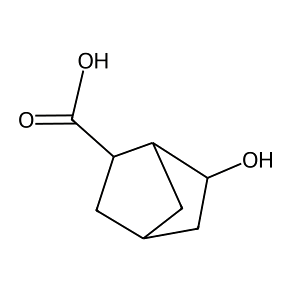 O=C(O)C1CC2CC(O)C1C2